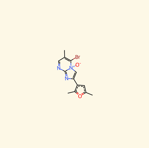 CC1=C(Br)[N+]2([O-])C=C(c3cc(C)oc3C)N=C2N=C1